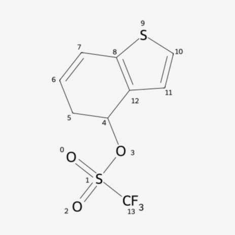 O=S(=O)(OC1CC=Cc2sccc21)C(F)(F)F